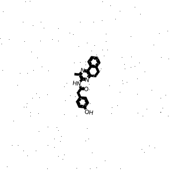 Cc1nc2c(nc1NC(=O)Cc1ccc(O)cc1)CCc1ccccc1-2